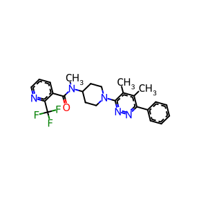 Cc1c(-c2ccccc2)nnc(N2CCC(N(C)C(=O)c3cccnc3C(F)(F)F)CC2)c1C